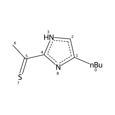 CCCCc1c[nH]c(C(C)=S)n1